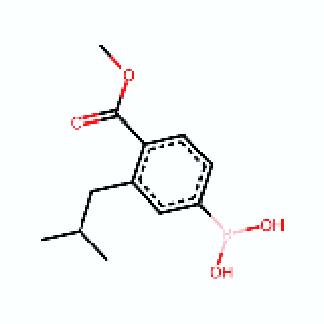 COC(=O)c1ccc(B(O)O)cc1CC(C)C